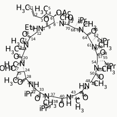 C/C=C/C[C@@H](C)[C@@H](OC(C)=O)[C@H]1C(=O)N[C@@H](CC)C(=O)N(C)[C@H](C)C(=O)N(C)[C@@H]([C@H](C)C=O)C(=O)N[C@@H](C(C)C)C(=O)N(C)[C@@H](CC(C)C)C(=O)N[C@@H](C)C(=O)N[C@H](C)C(=O)N(C)[C@@H](CC(C)C)C(=O)N(C)[C@@H](CC(C)C)C(=O)N(C)[C@@H](C(C)C)C(=O)N1C